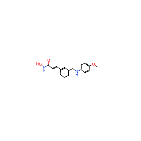 COc1ccc(NCC2C=C(/C=C/C(=O)NO)CCC2)cc1